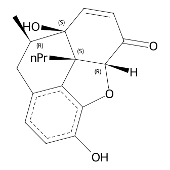 CCC[C@]12c3c4ccc(O)c3O[C@H]1C(=O)C=C[C@@]2(O)[C@H](C)C4